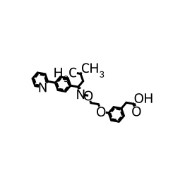 CC(C)C/C(=N\OCCOc1cccc(CC(=O)O)c1)c1ccc(-c2ccccn2)cc1